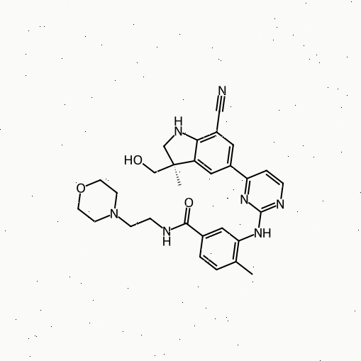 Cc1ccc(C(=O)NCCN2CCOCC2)cc1Nc1nccc(-c2cc(C#N)c3c(c2)[C@@](C)(CO)CN3)n1